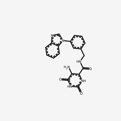 Nc1c(C(=O)NCc2cccc(-n3cnc4ccccc43)c2)[nH]c(=O)[nH]c1=O